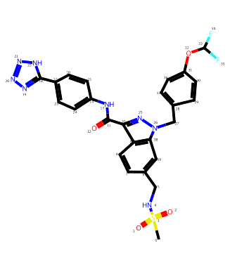 CS(=O)(=O)NCc1ccc2c(C(=O)Nc3ccc(-c4nnn[nH]4)cc3)nn(Cc3ccc(OC(F)F)cc3)c2c1